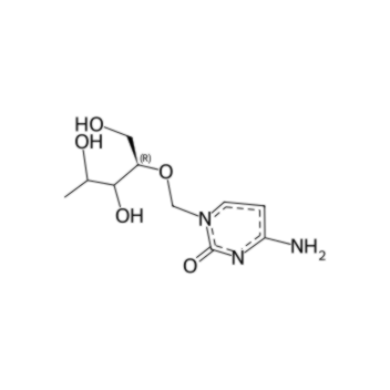 CC(O)C(O)[C@@H](CO)OCn1ccc(N)nc1=O